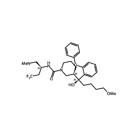 CNC[C@H](CC(F)(F)F)NC(=O)N1CCC[C@@H]([C@@](O)(CCCCOC)c2ccccc2Oc2ccccc2)C1